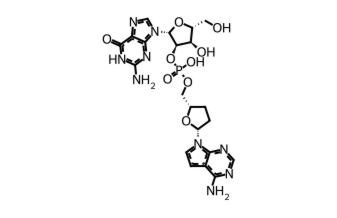 Nc1nc2c(ncn2[C@@H]2O[C@H](CO)[C@@H](O)[C@H]2OP(=O)(O)OC[C@@H]2CC[C@H](n3ccc4c(N)ncnc43)O2)c(=O)[nH]1